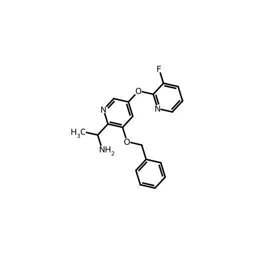 CC(N)c1ncc(Oc2ncccc2F)cc1OCc1ccccc1